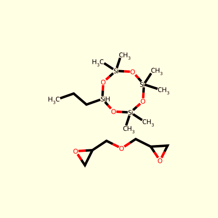 C(OCC1CO1)C1CO1.CCC[SiH]1O[Si](C)(C)O[Si](C)(C)O[Si](C)(C)O1